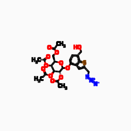 CC(=O)OC[C@H]1O[C@@H](Oc2ccc(CO)c3sc(CN=[N+]=[N-])cc23)[C@H](OC(C)=O)[C@@H](OC(C)=O)[C@H]1OC(C)=O